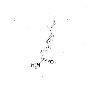 C=C/C=C/C=C/C(N)=O